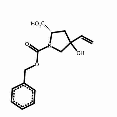 C=CC1(O)C[C@@H](C(=O)O)N(C(=O)OCc2ccccc2)C1